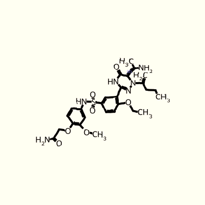 C=C(CCC)N1N=C(c2cc(S(=O)(=O)Nc3ccc(OCC(N)=O)c(OC)c3)ccc2OCC)NC(=O)/C1=C(\C)N